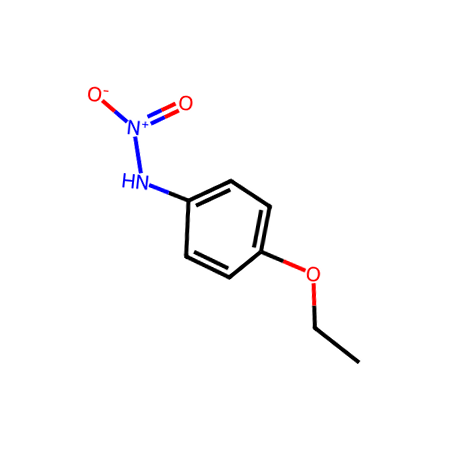 CCOc1ccc(N[N+](=O)[O-])cc1